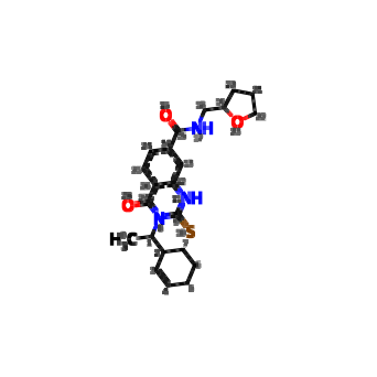 CC(C1C=CCCC1)n1c(=S)[nH]c2cc(C(=O)NCC3CCCO3)ccc2c1=O